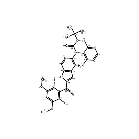 COc1cc(OC)c(F)c(C(=O)c2cc3cc(N(C(=O)OC(C)(C)C)c4c(N)cccc4Cl)ncc3o2)c1F